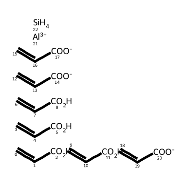 C=CC(=O)O.C=CC(=O)O.C=CC(=O)O.C=CC(=O)O.C=CC(=O)[O-].C=CC(=O)[O-].C=CC(=O)[O-].[Al+3].[SiH4]